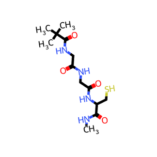 CNC(=O)C(CS)NC(=O)CNC(=O)CNC(=O)C(C)(C)C